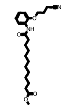 COC(=O)CCCCCCCCCCC(=O)Nc1ccccc1OCCCC#N